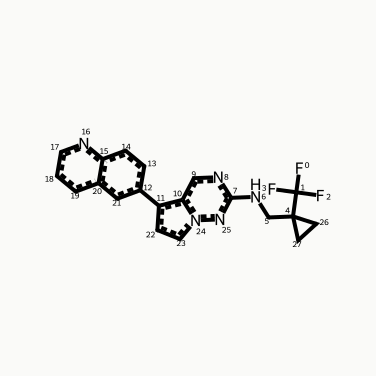 FC(F)(F)C1(CNc2ncc3c(-c4ccc5ncccc5c4)ccn3n2)CC1